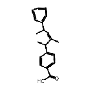 CC(=CC(C)c1ccccc1)C(C)c1ccc(C(=O)O)cc1